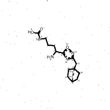 NC(CCCNC(=O)O)c1nc(CC23CCC(CC2)CC3)no1